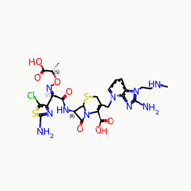 CNCCn1c(N)nc2c1ccc[n+]2CC1=C(C(=O)O)N2C(=O)[C@@H](NC(=O)/C(=N\O[C@@H](C)C(=O)O)c3nc(N)sc3Cl)C2SC1